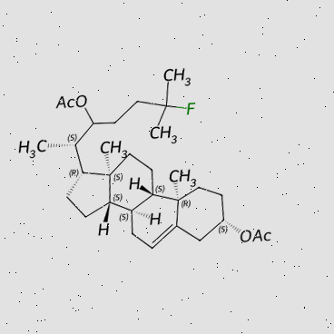 CC(=O)OC(CCC(C)(C)F)[C@@H](C)[C@H]1CC[C@H]2[C@@H]3CC=C4C[C@@H](OC(C)=O)CC[C@]4(C)[C@H]3CC[C@]12C